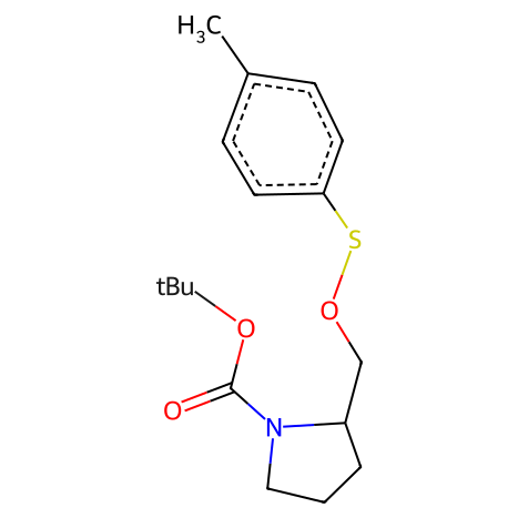 Cc1ccc(SOCC2CCCN2C(=O)OC(C)(C)C)cc1